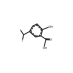 O=C(O)c1cc(C(I)I)ccc1O